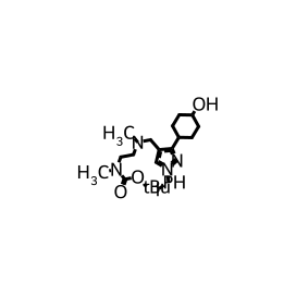 CN(CCN(C)C(=O)OC(C)(C)C)Cc1cn(PI)nc1C1CCC(O)CC1